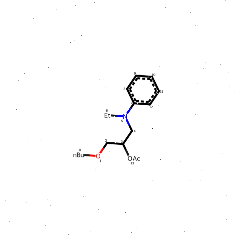 CCCCOCC(CN(CC)c1ccccc1)OC(C)=O